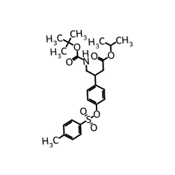 Cc1ccc(S(=O)(=O)Oc2ccc(C(CNC(=O)OC(C)(C)C)CC(=O)OC(C)C)cc2)cc1